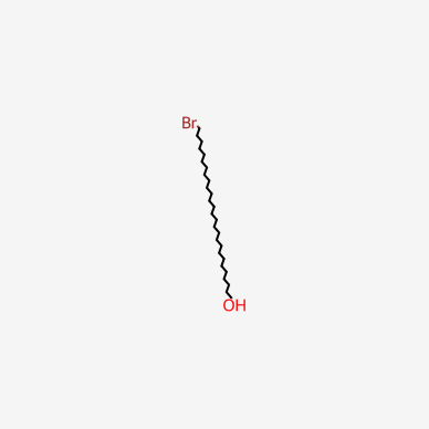 OCCCCCCCCCCCCCCCCCCCCCCCCCCCBr